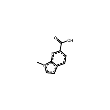 Cn1ccc2ccc(C(=O)O)nc21